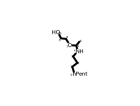 CCCCCCCCNC(C)OCCO